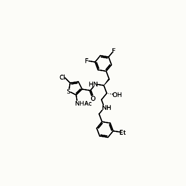 CCc1cccc(CNC[C@@H](O)[C@H](Cc2cc(F)cc(F)c2)NC(=O)c2cc(Cl)sc2NC(C)=O)c1